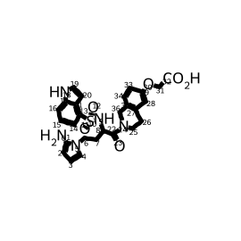 Nc1cccn1CCC(NS(=O)(=O)c1cccc2[nH]ccc12)C(=O)N1CCc2cc(OCC(=O)O)ccc2C1